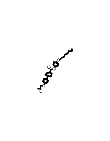 C=CCCCCCCOc1ccc(OC(=O)c2ccc(-c3ccc(OCC(C)CC)cc3)cc2)cc1